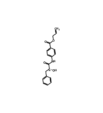 C=CCOC(=O)c1ccc(NC(=O)[C@H](O)Cc2ccccc2)cc1